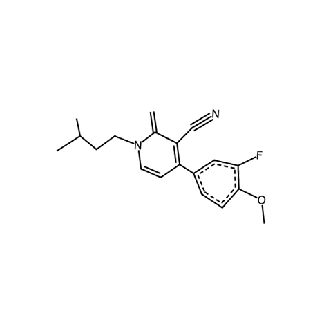 C=C1C(C#N)=C(c2ccc(OC)c(F)c2)C=CN1CCC(C)C